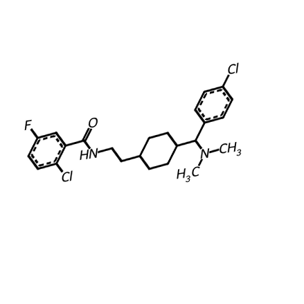 CN(C)C(c1ccc(Cl)cc1)C1CCC(CCNC(=O)c2cc(F)ccc2Cl)CC1